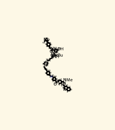 CNc1nc(-c2cnc3ccccc3c2)nc2c1CCN(C(=O)c1ccc(/C=C/c3ccc(C#CCN4CCN(CCCCC(=O)N[C@H](C(=O)N5C[C@H](O)C[C@H]5C(=O)NCc5ccc(-c6scnc6C)cc5)C(C)(C)C)CC4)cc3)cc1)C2